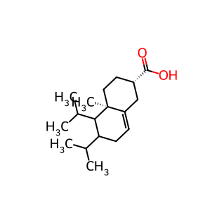 CC(C)C1CC=C2C[C@@H](C(=O)O)CC[C@]2(C)C1C(C)C